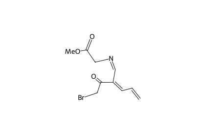 C=C/C=C(\C=N/CC(=O)OC)C(=O)CBr